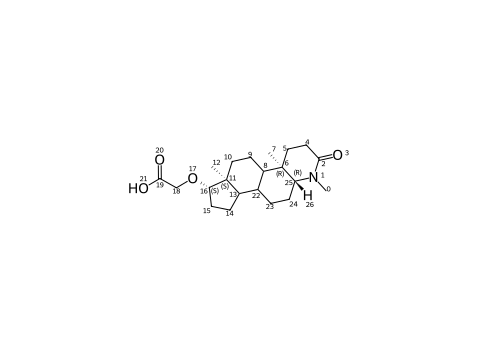 CN1C(=O)CC[C@]2(C)C3CC[C@@]4(C)C(CC[C@@H]4OCC(=O)O)C3CC[C@@H]12